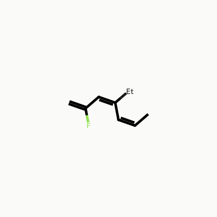 C=C(F)/C=C(\C=C/C)CC